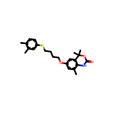 Cc1ccc(SCCCCOc2cc(C)c3c(c2)C(C)(C)OC(=O)N3)cc1C